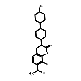 CCCC1CCC(C2CCC(C3Cc4ccc(C(C)O)c(F)c4OC3=O)CC2)CC1